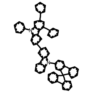 c1ccc(-c2cc(-c3ccccc3)c3c4cc(-c5ccc6c(c5)c5ccccc5n6-c5ccc6c(c5)C5(c7ccccc7-c7ccccc75)c5ccccc5-6)ccc4n(-c4ccccc4)c3c2)cc1